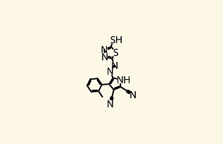 Cc1ccccc1-c1c(/N=N/c2nnc(S)s2)[nH]c(C#N)c1C#N